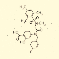 Cc1cc(C)c(S(=O)(=O)N(C)CC(=O)N(CC2=CCC(F)C=C2)c2ccc(C(=O)O)c(O)c2)c(C)c1